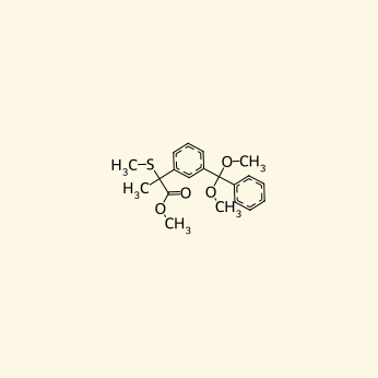 COC(=O)C(C)(SC)c1cccc(C(OC)(OC)c2ccccc2)c1